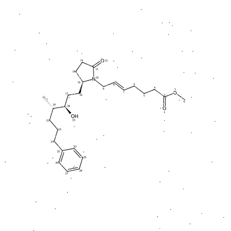 COC(=O)CCCC=CCN1C(=O)CC[C@@H]1CC[C@@H](O)[C@@H](C)CCCc1ccccc1